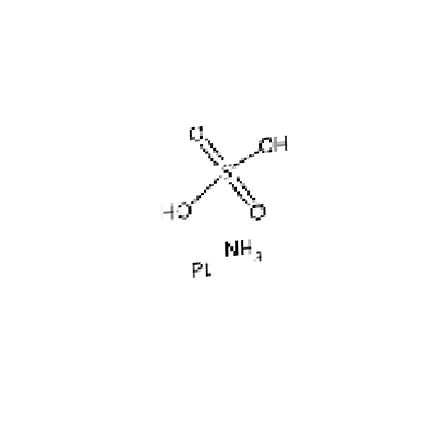 N.O=S(=O)(O)O.[Pt]